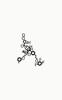 Cc1cccc(OCCN(C(=O)C2=C(c3ccc(CCCOc4c(F)ccc(F)c4F)cc3)C[C@H]3CN(C(=O)C4C[C@@H](OC=O)CN4)C[C@H]2N3)C2CC2)c1